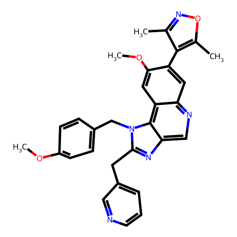 COc1ccc(Cn2c(Cc3cccnc3)nc3cnc4cc(-c5c(C)noc5C)c(OC)cc4c32)cc1